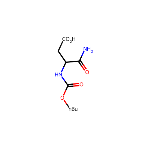 CCCCOC(=O)NC(CC(=O)O)C(N)=O